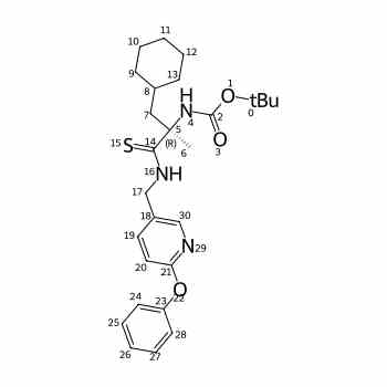 CC(C)(C)OC(=O)N[C@](C)(CC1CCCCC1)C(=S)NCc1ccc(Oc2ccccc2)nc1